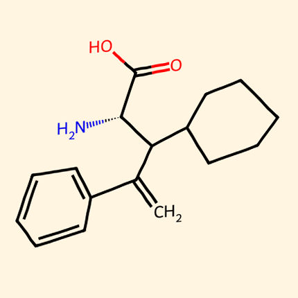 C=C(c1ccccc1)C(C1CCCCC1)[C@H](N)C(=O)O